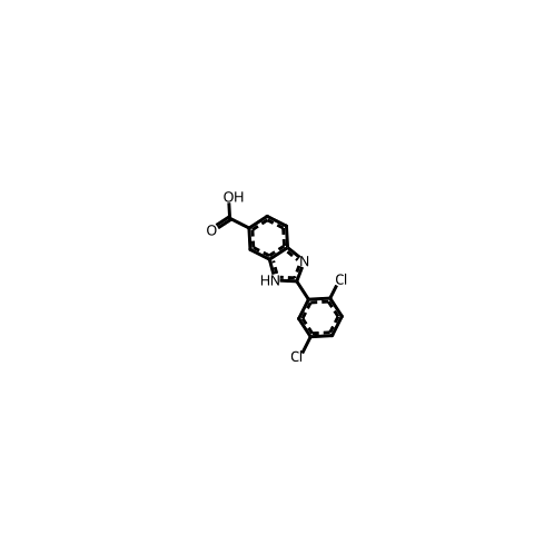 O=C(O)c1ccc2nc(-c3cc(Cl)ccc3Cl)[nH]c2c1